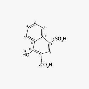 O=C(O)c1cc(S(=O)(=O)O)c2ccccc2c1O